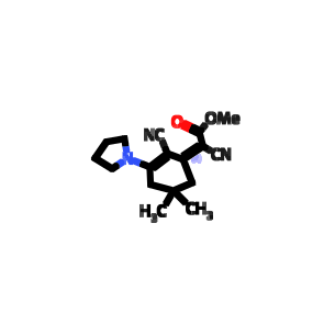 COC(=O)/C(C#N)=C1/CC(C)(C)CC(N2CCCC2)=C1C#N